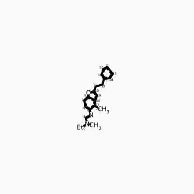 CCN(C)/C=N/c1ccc2oc(CCc3ccccc3)cc2c1C